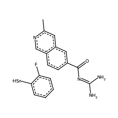 Cc1cc2cc(C(=O)N=C(N)N)ccc2cn1.Fc1cccc[c]1[SnH]